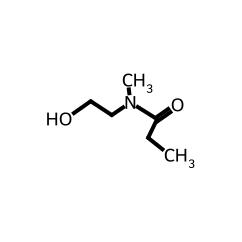 CCC(=O)N(C)CCO